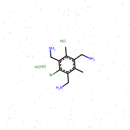 Cc1c(CN)c(C)c(CN)c(Br)c1CN.Cl.Cl.Cl